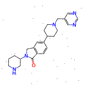 O=C1c2ccc(C3CCN(Cc4cncnc4)CC3)cc2CN1C1CCCNC1